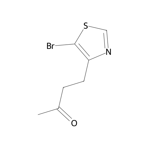 CC(=O)CCc1ncsc1Br